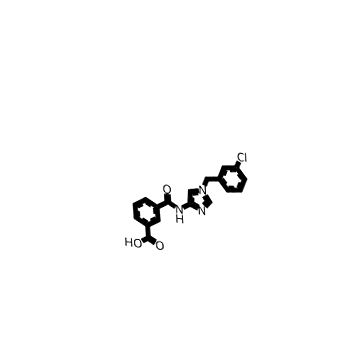 O=C(O)c1cccc(C(=O)Nc2cn(Cc3cccc(Cl)c3)cn2)c1